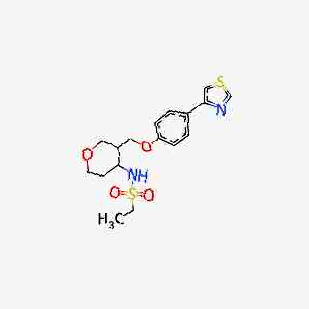 CCS(=O)(=O)NC1CCOCC1COc1ccc(-c2cscn2)cc1